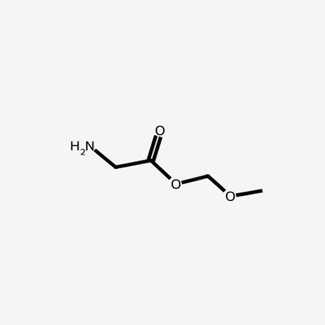 COCOC(=O)CN